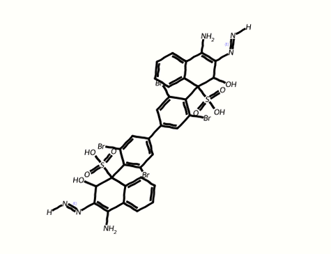 [H]/N=N/C1=C(N)c2ccccc2C(c2c(Br)cc(-c3cc(Br)c(C4(S(=O)(=O)O)c5ccccc5C(N)=C(/N=N/[H])C4O)c(Br)c3)cc2Br)(S(=O)(=O)O)C1O